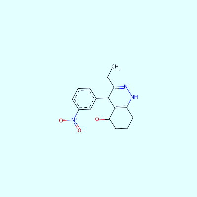 CCC1=NNC2=C(C(=O)CCC2)C1c1cccc([N+](=O)[O-])c1